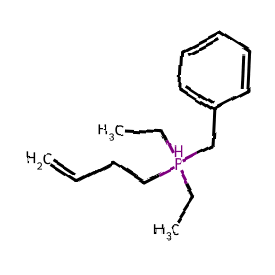 C=CCC[PH](CC)(CC)Cc1ccccc1